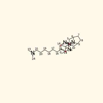 CCC(C)N1CC2CCC(C1)N2c1ncc(CCCCCCN(C)C)cn1